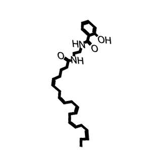 CC/C=C\C/C=C\C/C=C\C/C=C\C/C=C\CCCC(=O)NCCNC(=O)c1ccccc1O